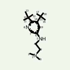 CN(C)CCNc1cnc(C(C)(C)C)c(C(C)(C)C)c1